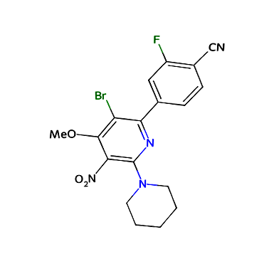 COc1c(Br)c(-c2ccc(C#N)c(F)c2)nc(N2CCCCC2)c1[N+](=O)[O-]